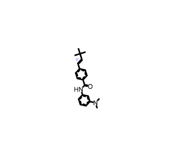 CN(C)c1cccc(NC(=O)c2ccc(/C=C/C(C)(C)C)cc2)c1